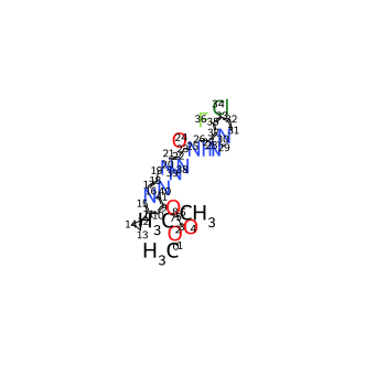 CCOC(=O)C(C)(C)Oc1cc(C2CC2)cn2cc(Cn3cc(C(=O)NCc4ncn5ccc(Cl)c(F)c45)nn3)nc12